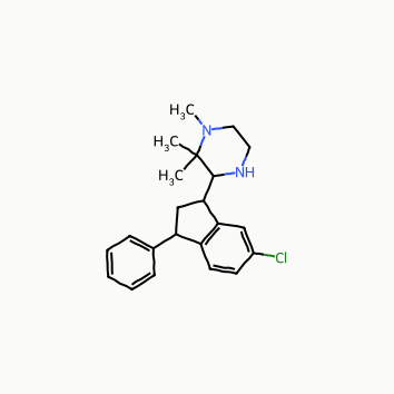 CN1CCNC(C2CC(c3ccccc3)c3ccc(Cl)cc32)C1(C)C